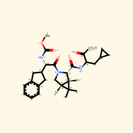 CC(C)(C)OC(=O)N[C@H](C(=O)N1C[C@@H]2[C@H]([C@H]1C(=O)NC(CC1CC1)C(=O)C(=O)O)C2(C)C)C1Cc2ccccc2C1